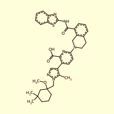 COC1(Cn2ncc(-c3ccc(N4CCc5cccc(C(=O)Nc6nc7ccccc7s6)c5C4)nc3C(=O)O)c2C)CCCC(C)(C)C1